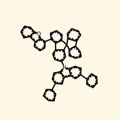 c1ccc(-c2ccc3c(c2)c2cc(-c4ccccc4)ccc2n3-c2ccc3c(c2)C2(c4ccccc4-c4ccccc42)c2cccc(-c4cccc5c4oc4ccccc45)c2-3)cc1